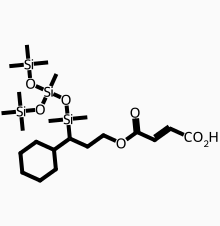 C[Si](C)(C)O[Si](C)(O[Si](C)(C)C)O[Si](C)(C)C(CCOC(=O)C=CC(=O)O)C1CCCCC1